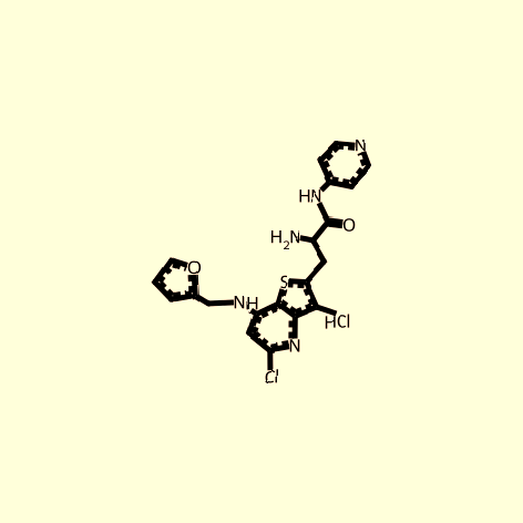 Cc1c(CC(N)C(=O)Nc2ccncc2)sc2c(NCc3ccco3)cc(Cl)nc12.Cl